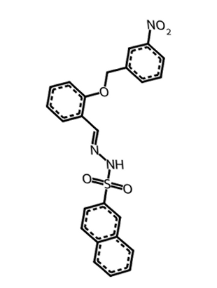 O=[N+]([O-])c1cccc(COc2ccccc2/C=N/NS(=O)(=O)c2ccc3ccccc3c2)c1